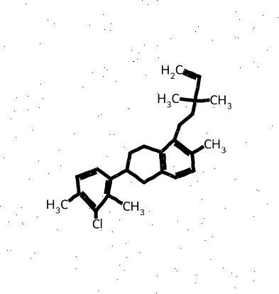 C=CC(C)(C)CCc1c(C)ccc2c1CCC(c1ccc(C)c(Cl)c1C)C2